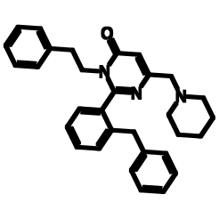 O=c1cc(CN2CCCCC2)nc(-c2ccccc2Cc2ccccc2)n1CCc1ccccc1